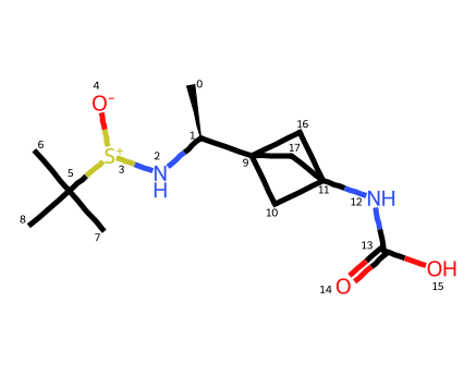 C[C@H](N[S+]([O-])C(C)(C)C)C12CC(NC(=O)O)(C1)C2